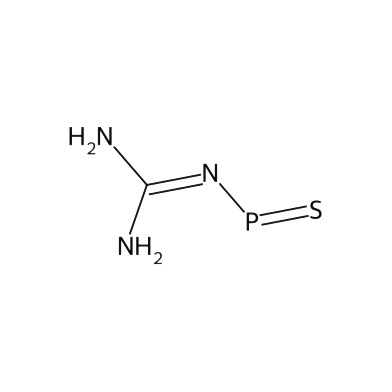 NC(N)=NP=S